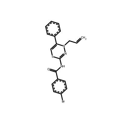 C=CCN1N=C(NC(=O)c2ccc(Br)cc2)SC=C1c1ccccc1